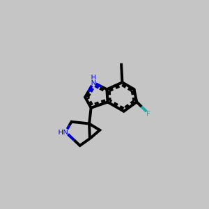 Cc1cc(F)cc2c(C34CNCC3C4)c[nH]c12